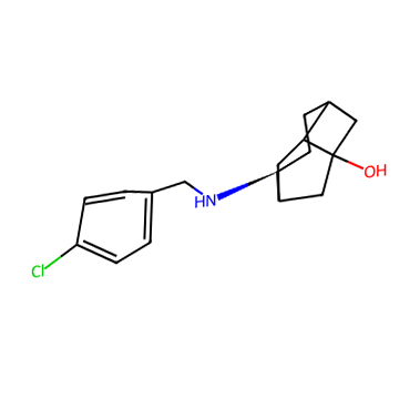 OC12CC3CC[C@H](NCc4ccc(Cl)cc4)C(CC31)C2